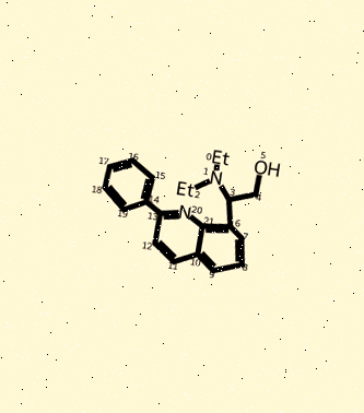 CCN(CC)C(CO)c1cccc2ccc(-c3ccccc3)nc12